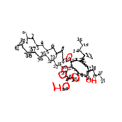 CCCCCCCCCCOc1c(CCCC)c(CCCC)c(O)c(OC(=O)O)c1OCCCCCCCCCC